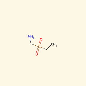 CCS(=O)(=O)[CH]N